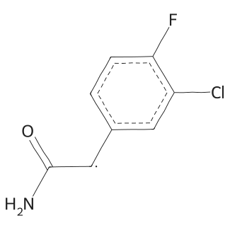 NC(=O)[CH]c1ccc(F)c(Cl)c1